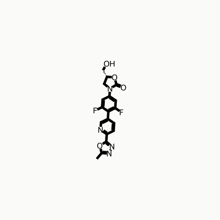 Cc1nnc(-c2ccc(-c3c(F)cc(N4C[C@H](CO)OC4=O)cc3F)cn2)o1